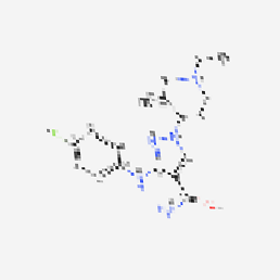 CC(C)CN1CCC(n2cc(C(N)=O)c(Nc3ccc(F)cc3)n2)C(C#N)C1